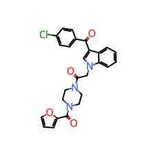 O=C(c1ccc(Cl)cc1)c1cn(CC(=O)N2CCN(C(=O)c3ccco3)CC2)c2ccccc12